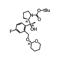 CC(C)(C)OC(=O)N1CCC[C@@H]1[C@](C)(O)c1ccc(F)cc1CO[C@@H]1CCCCO1